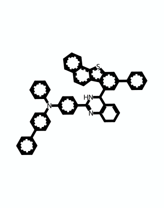 C1=CC2=C(CC1)N=C(c1ccc(N(c3ccccc3)c3ccc(-c4ccccc4)cc3)cc1)NC2c1cc(-c2ccccc2)cc2sc3c4ccccc4ccc3c12